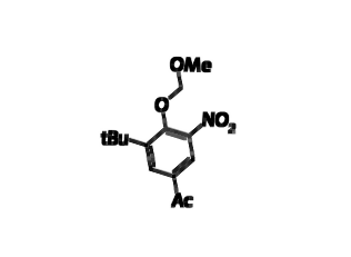 COCOc1c([N+](=O)[O-])cc(C(C)=O)cc1C(C)(C)C